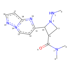 CNN1CC(C(=O)N(C)C)C1c1ccn2nccc2n1